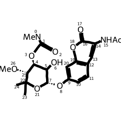 CNC(=O)O[C@@H]1C(O)[C@H](Oc2ccc3cc(NC(C)=O)c(=O)oc3c2)OC(C)(C)[C@@H]1OC